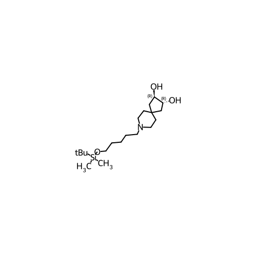 CC(C)(C)[Si](C)(C)OCCCCCN1CCC2(CC1)C[C@@H](O)[C@H](O)C2